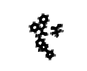 O=C(Nc1ccc2[nH]c(-c3cscn3)nc2c1)N(Cc1ccccc1)c1ccccc1.O=C(O)C(F)(F)F